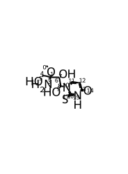 COC(N)(CO)C(O)C(O)n1ccc(=O)[nH]c1=S